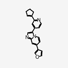 C1=C(c2cc(-c3cnc4cc(-c5ccoc5)ccn34)ccn2)CCC1